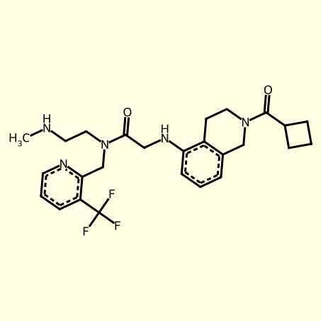 CNCCN(Cc1ncccc1C(F)(F)F)C(=O)CNc1cccc2c1CCN(C(=O)C1CCC1)C2